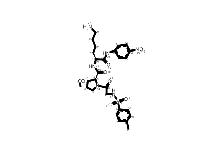 CC(=O)O.Cc1ccc(S(=O)(=O)NCC(=O)N2CCC[C@H]2C(=O)N[C@@H](CCCCN)C(=O)Nc2ccc([N+](=O)[O-])cc2)cc1